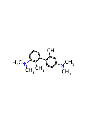 Cc1cc(N(C)C)ccc1-c1cccc(N(C)C)c1C